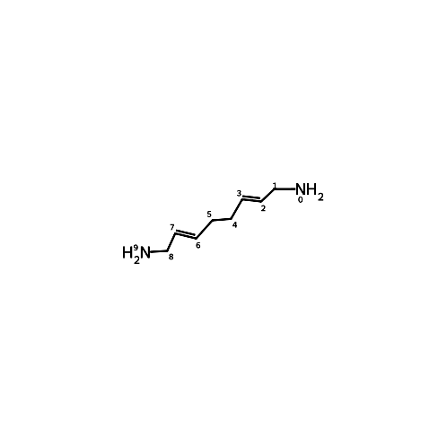 NCC=CCCC=CCN